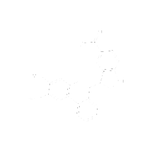 COc1cc(C(=O)O)c(-c2ccccc2CC2CNc3ccc(C(=N)N)cc32)cc1C(=O)O